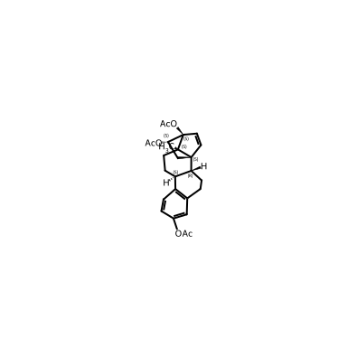 CC(=O)Oc1ccc2c(c1)CC[C@@H]1[C@@H]2CC[C@@]2(C)[C@]13C=C[C@@]2(OC(C)=O)[C@@H](OC(C)=O)C3